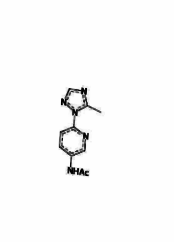 CC(=O)Nc1ccc(-n2ncnc2C)nc1